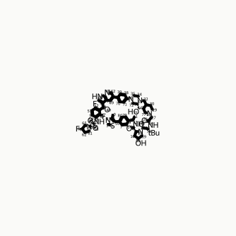 Cc1ncsc1-c1ccc(C(C)NC(=O)[C@@H]2C[C@@H](O)CN2C(=O)C(NC(=O)CN2CCC(CN3CCN(c4ccc(-c5cnc6[nH]cc(C(=O)c7c(F)ccc(NS(=O)(=O)N8CC[C@@H](F)C8)c7F)c6c5)cc4)C[C@H]3CO)CC2)C(C)(C)C)cc1